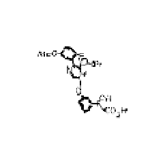 COc1ccc(F)c(-c2ncc(COc3cccc([C@H](O)CC(=O)O)c3)nc2OC(C)C)c1